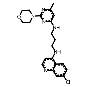 Cc1cc(NCCCNc2ccnc3cc(Cl)ccc23)nc(N2CCOCC2)n1